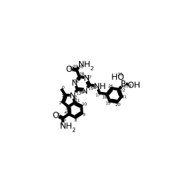 Cc1cc2c(C(N)=O)cccc2n1-c1nc(NCc2cccc(B(O)O)c2)nc(C(N)=O)n1